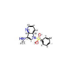 CCNc1cn(S(=O)(=O)c2ccccc2)c2cccnc12